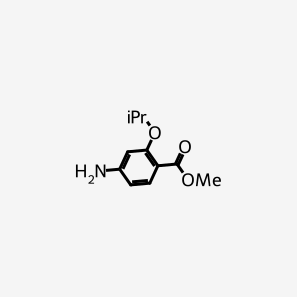 COC(=O)c1ccc(N)cc1OC(C)C